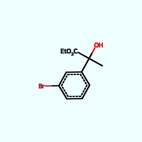 CCOC(=O)C(C)(O)c1cccc(Br)c1